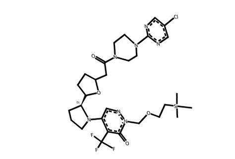 C[Si](C)(C)CCOCn1ncc(N2CCC[C@H]2C2CCC(CC(=O)N3CCN(c4ncc(Cl)cn4)CC3)O2)c(C(F)(F)F)c1=O